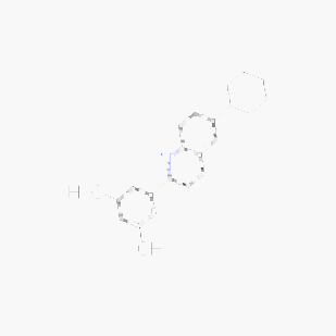 Cc1cc(C)cc(-c2ccc3cc(C4CCCCC4)ccc3n2)c1